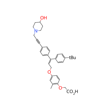 Cc1cc(OCC=C(c2ccc(C#CCN3CCC(O)CC3)cc2)c2ccc(C(C)(C)C)cc2)ccc1OCC(=O)O